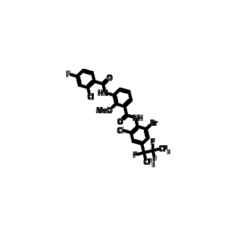 COc1c(NC(=O)c2ccc(F)cc2Cl)cccc1C(=O)Nc1c(Cl)cc(C(F)(C(F)(F)F)C(F)(F)C(F)(F)F)cc1Br